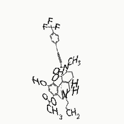 C=CCN1CC[C@]23c4c5c(OC(C)=O)cc(O)c4O[C@H]2[C@@H](N(C)C(=O)C#Cc2ccc(C(F)(F)F)cc2)CC[C@H]3[C@H]1C5